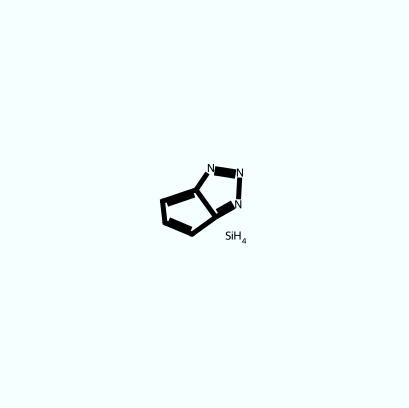 C1=CC2=NN=NC2=C1.[SiH4]